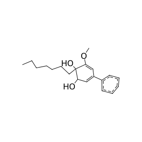 CCCCCCCC1(O)C(OC)=CC(c2ccccc2)=CC1O